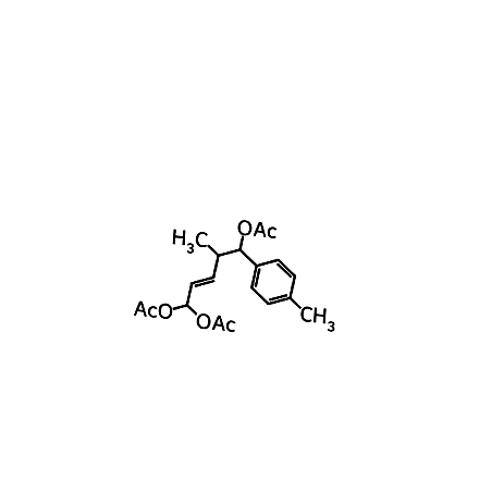 CC(=O)OC(C=CC(C)C(OC(C)=O)c1ccc(C)cc1)OC(C)=O